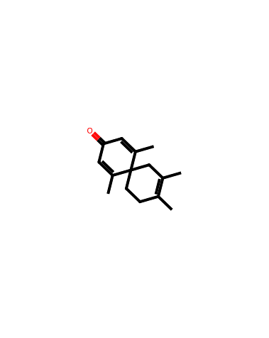 CC1=CC(=O)C=C(C)C12CCC(C)=C(C)C2